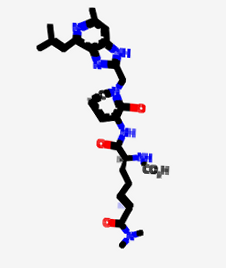 CC(C)=Cc1nc(C)cc2[nH]c(Cn3cccc(NC(=O)[C@H](CC/C=C/C(=O)N(C)C)NC(=O)O)c3=O)nc12